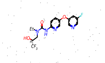 CCN(C[C@@H](O)C(F)(F)F)C(=O)Nc1ccc(Oc2cncc(F)c2)cn1